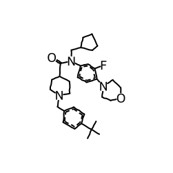 CC(C)(C)c1ccc(CN2CCC(C(=O)N(CC3CCCC3)c3ccc(N4CCOCC4)c(F)c3)CC2)cc1